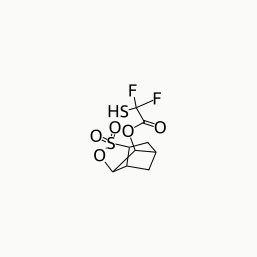 O=C(OC1C2CC3C1OS(=O)(=O)C3C2)C(F)(F)S